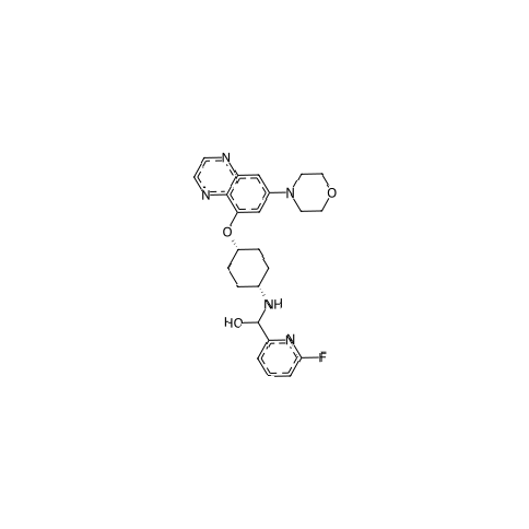 OC(N[C@H]1CC[C@@H](Oc2cc(N3CCOCC3)cc3nccnc23)CC1)c1cccc(F)n1